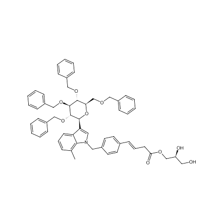 Cc1cccc2c([C@@H]3O[C@H](COCc4ccccc4)[C@@H](OCc4ccccc4)[C@H](OCc4ccccc4)[C@H]3OCc3ccccc3)cn(Cc3ccc(/C=C/CC(=O)OC[C@@H](O)CO)cc3)c12